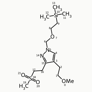 COCCc1cn(COCC[Si](C)(C)C)nc1CCS(C)(=O)=O